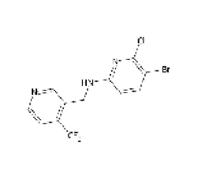 FC(F)(F)c1ccncc1CNc1ccc(Br)c(Cl)n1